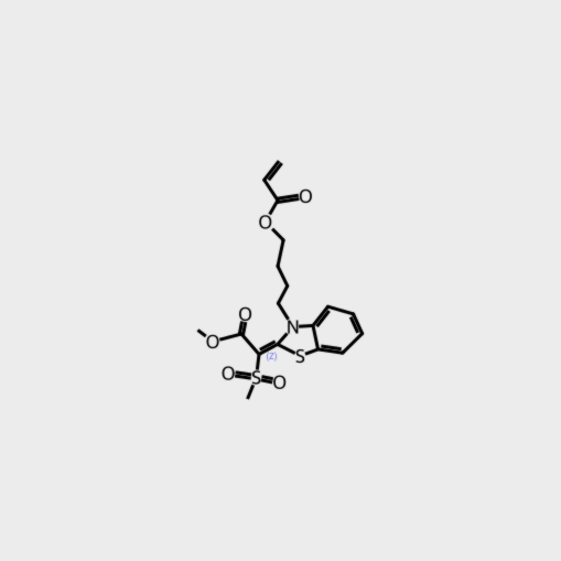 C=CC(=O)OCCCCN1/C(=C(\C(=O)OC)S(C)(=O)=O)Sc2ccccc21